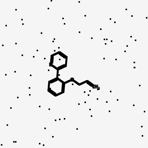 C=CCOc1ccccc1-c1ccccn1